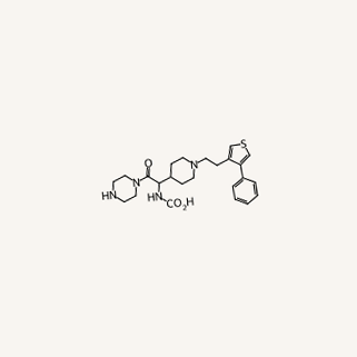 O=C(O)NC(C(=O)N1CCNCC1)C1CCN(CCc2cscc2-c2ccccc2)CC1